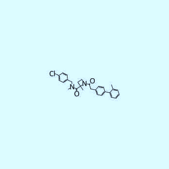 Cc1ccccc1-c1ccc(CC(=O)N2CCC2(C)C(=O)N(C)Cc2ccc(Cl)cc2)cc1